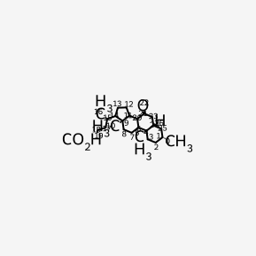 C[C@@H]1CC[C@]2(C)C3CC[C@@]4(C)C(CCC4[C@H](C)CCC(=O)O)C3C(=O)C[C@@H]2C1